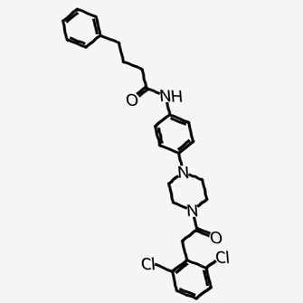 O=C(CCCc1ccccc1)Nc1ccc(N2CCN(C(=O)Cc3c(Cl)cccc3Cl)CC2)cc1